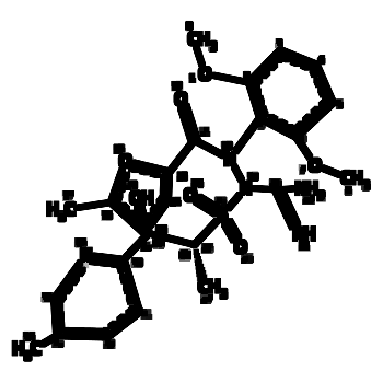 COc1cccc(OC)c1N(C(=O)c1ccc(C)o1)N(C(=N)N)S(=O)(=O)[C@H](C)[C@H](O)c1ccc(C)cn1